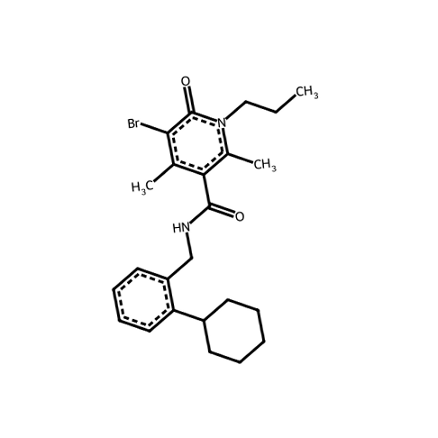 CCCn1c(C)c(C(=O)NCc2ccccc2C2CCCCC2)c(C)c(Br)c1=O